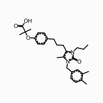 CCCn1c(CCCc2ccc(OC(C)(C)C(=O)O)cc2)c(C)n(Cc2ccc(C)c(C)c2)c1=O